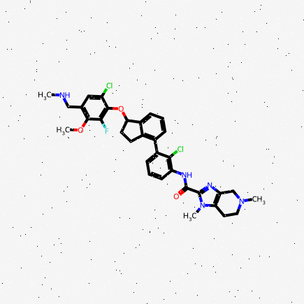 CNCc1cc(Cl)c(OC2CCc3c(-c4cccc(NC(=O)c5nc6c(n5C)CCN(C)C6)c4Cl)cccc32)c(F)c1OC